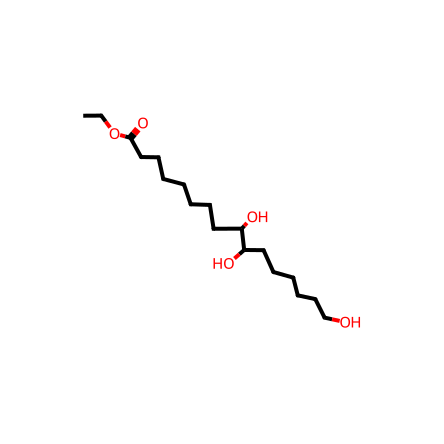 CCOC(=O)CCCCCCCC(O)C(O)CCCCCCO